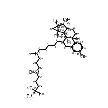 CN(CCCCC[C@@H]1Cc2cc(O)ccc2[C@H]2CC[C@@]3(C)[C@@H]([C@@H]4C[C@@H]4[C@@H]3O)[C@H]12)CCC[S+]([O-])CCCC(F)(F)C(F)(F)F